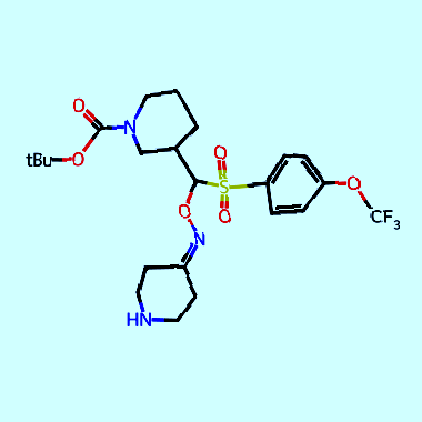 CC(C)(C)OC(=O)N1CCCC(C(ON=C2CCNCC2)S(=O)(=O)c2ccc(OC(F)(F)F)cc2)C1